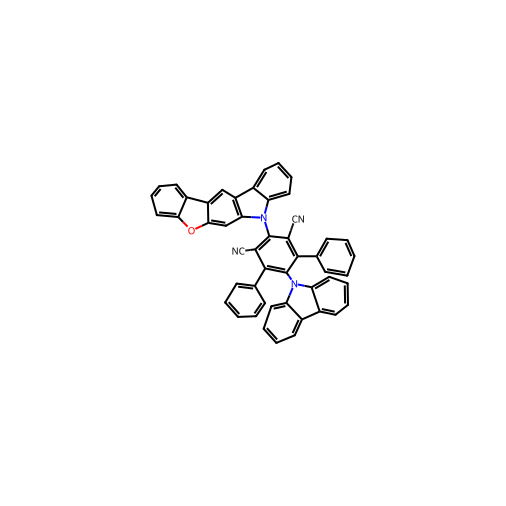 N#Cc1c(-c2ccccc2)c(-n2c3ccccc3c3ccccc32)c(-c2ccccc2)c(C#N)c1-n1c2ccccc2c2cc3c(cc21)oc1ccccc13